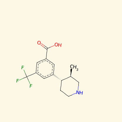 C[C@H]1CNCC[C@@H]1c1cc(C(=O)O)cc(C(F)(F)F)c1